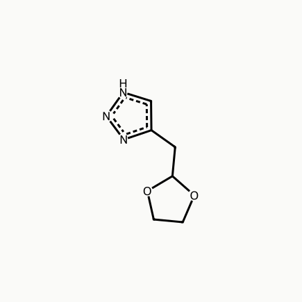 c1[nH]nnc1CC1OCCO1